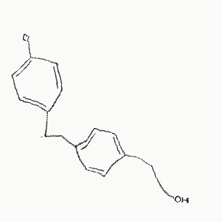 OCCc1ccc([CH]c2ccc(Cl)cc2)cc1